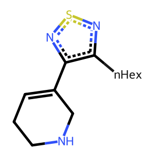 CCCCCCc1nsnc1C1=CCCNC1